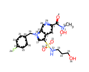 CN(O)C(=O)c1cc2c(S(=O)(=O)NCCCO)cn(Cc3ccc(F)cc3)c2cn1